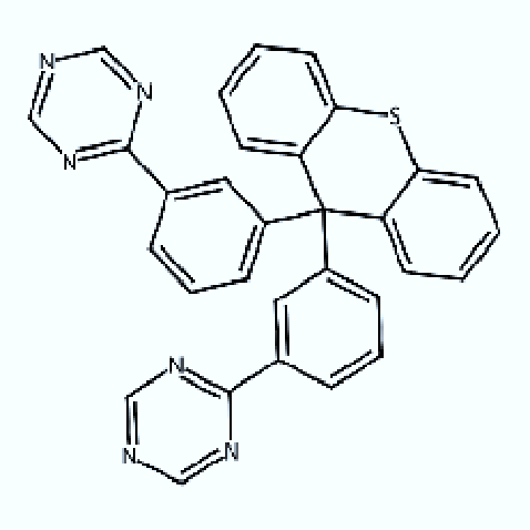 c1cc(-c2ncncn2)cc(C2(c3cccc(-c4ncncn4)c3)c3ccccc3Sc3ccccc32)c1